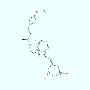 CC(CCN1CC(OC(F)(F)F)C1)[C@H]1CC[C@H]2/C(=C/C=C3C[C@@H](O)C[C@H](O)C3)CCC[C@]12C